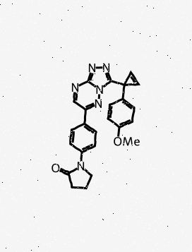 COc1ccc(C2(c3nnc4ncc(-c5ccc(N6CCCC6=O)cc5)nn34)C=C2)cc1